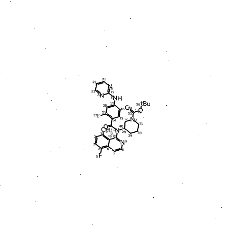 Cc1ccc(F)c2ccnc(N(C(=O)c3ccc(Nc4ncccn4)cc3F)[C@@H]3CCCN(C(=O)OC(C)(C)C)C3)c12